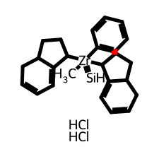 Cl.Cl.[CH3][Zr](=[SiH2])([c]1ccccc1)([CH]1CCC2CC=CC=C21)[CH]1CCC2CC=CC=C21